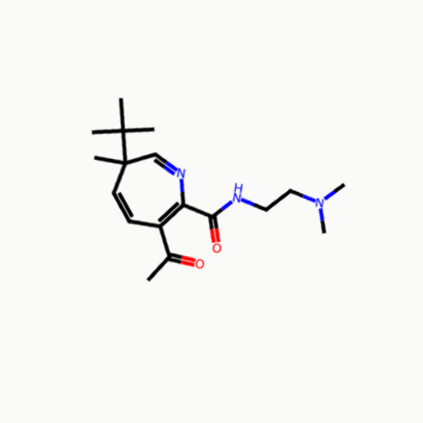 CC(=O)C1=C(C(=O)NCCN(C)C)N=CC(C)(C(C)(C)C)C=C1